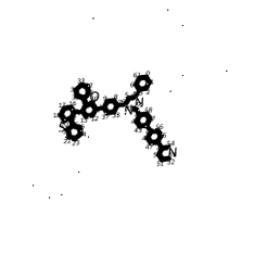 c1ccc(-c2cc(-c3ccc(-c4ccc(-c5cccc6sc7ccccc7c56)c5c4oc4ccccc45)cc3)nc(-c3ccc(-c4ccc(-c5cccnc5)cc4)cc3)n2)cc1